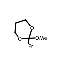 COC1(C(C)C)OCCCO1